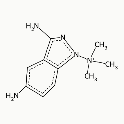 C[N+](C)(C)n1nc(N)c2cc(N)ccc21